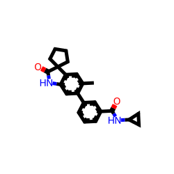 Cc1cc2c(cc1-c1cccc(C(=O)NC3CC3)c1)NC(=O)C21CCCC1